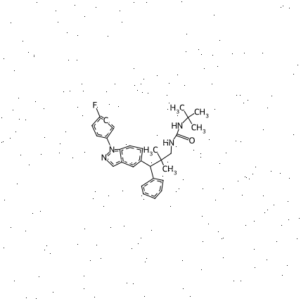 CC(C)(C)NC(=O)NCC(C)(C)C(c1ccccc1)c1ccc2c(cnn2-c2ccc(F)cc2)c1